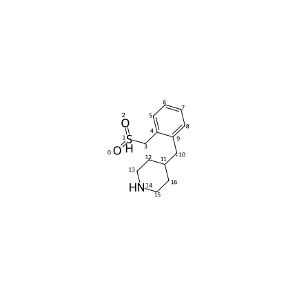 O=[SH](=O)Cc1ccccc1[CH]C1CCNCC1